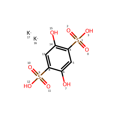 O=S(=O)(O)c1cc(O)c(S(=O)(=O)O)cc1O.[K].[K]